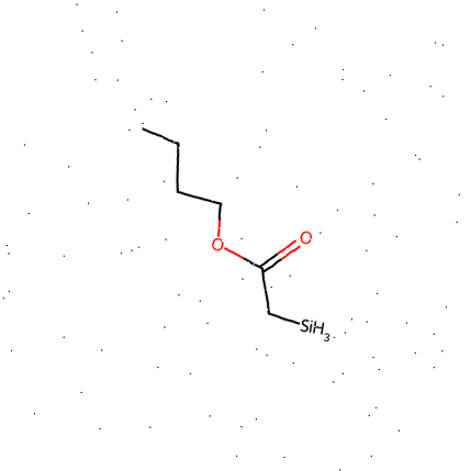 CCCCOC(=O)C[SiH3]